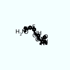 CCc1nc2c(cnn2CC)c(NC2CCOCC2)c1CNC(=O)c1cccc(C(=O)NCc2ccc(F)c(-c3cccc(CN4CCC[C@H]4C(N)=O)c3)c2)c1